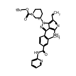 C=Cc1cnc(N)c2c(-c3ccc(C(=O)Nc4ccccn4)cc3C)nn([C@@H]3CCCN(C(=O)OC(C)(C)C)C3)c12